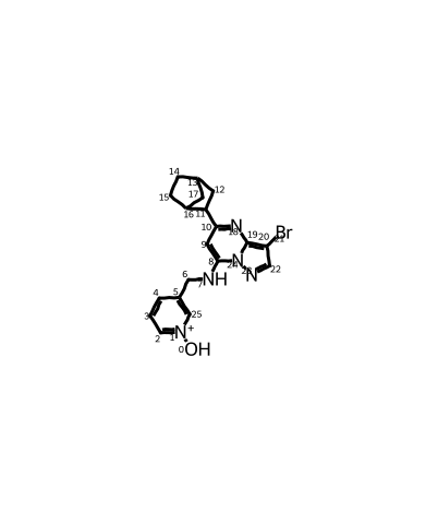 O[n+]1cccc(CNc2cc(C3CC4CCC3C4)nc3c(Br)cnn23)c1